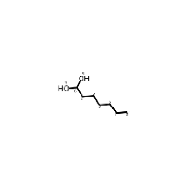 [CH2]CCCCCC(O)O